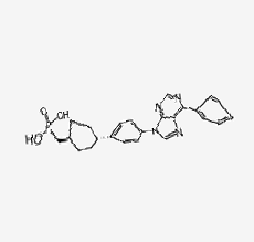 O=P(O)(O)C[C@H]1CC[C@H](c2ccc(-n3cnc4c(-c5ccccc5)ncnc43)cc2)CC1